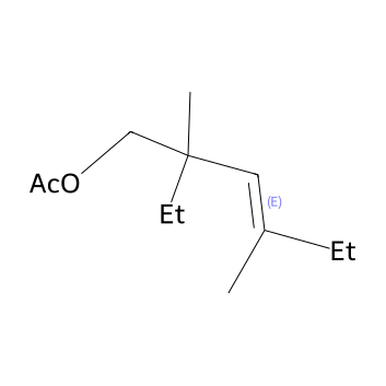 CC/C(C)=C/C(C)(CC)COC(C)=O